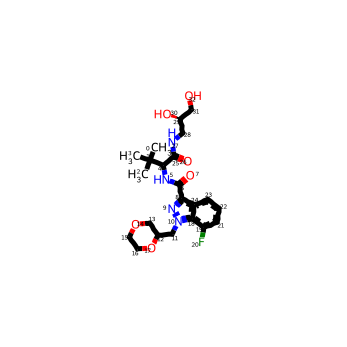 CC(C)(C)C(NC(=O)c1nn(CC2COCCO2)c2c(F)cccc12)C(=O)NC[C@@H](O)CO